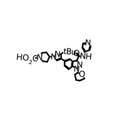 CC(C)(C)c1nn(C2CCN(C(=O)O)CC2)cc1-c1ccc2c(c1)c(C(=O)Nc1ccncc1)nn2C1CCCCO1